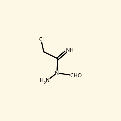 N=C(CCl)N(N)C=O